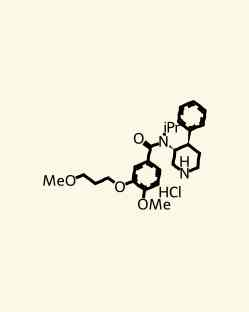 COCCCOc1cc(C(=O)N(C(C)C)[C@H]2CNCC[C@@H]2c2ccccc2)ccc1OC.Cl